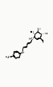 O[C@@H]1[C@@H](O)[C@@H](O)C(CF)=C[C@H]1NCCCCOc1ccc(C(F)(F)F)cc1